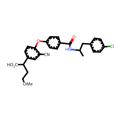 COCCC(C(=O)O)c1ccc(Oc2ccc(C(=O)NC(C)Cc3ccc(Cl)cc3)cc2)c(C#N)c1